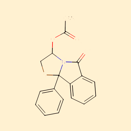 COC(=O)OC1CSC2(c3ccccc3)c3ccccc3C(=O)N12